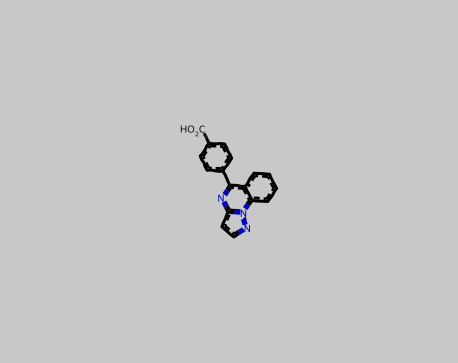 O=C(O)c1ccc(-c2nc3ccnn3c3ccccc23)cc1